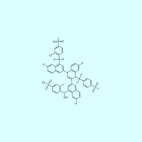 CCS(=O)(=O)c1ccc(C(O)c2cc(C3=[C]C(c4cc(C(F)(F)c5ccc(S(C)(=O)=O)cc5Cl)c5cc(F)ccc5c4)c4ccc(F)cc4C3C(F)(F)c3ccc(S(C)(=O)=O)cc3)cc3ccc(F)cc23)c(C)c1